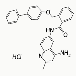 Cc1cc(N)c2cc(NC(=O)c3ccccc3COc3ccc(-c4ccccc4)cc3)ccc2n1.Cl